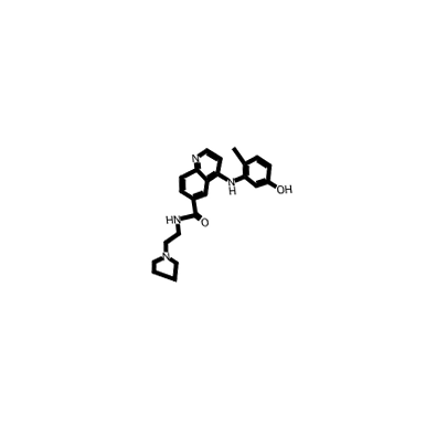 Cc1ccc(O)cc1Nc1ccnc2ccc(C(=O)NCCN3CCCC3)cc12